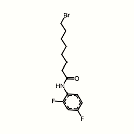 O=C(CCCCCCCBr)Nc1ccc(F)cc1F